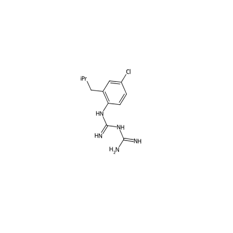 CC(C)Cc1cc(Cl)ccc1NC(=N)NC(=N)N